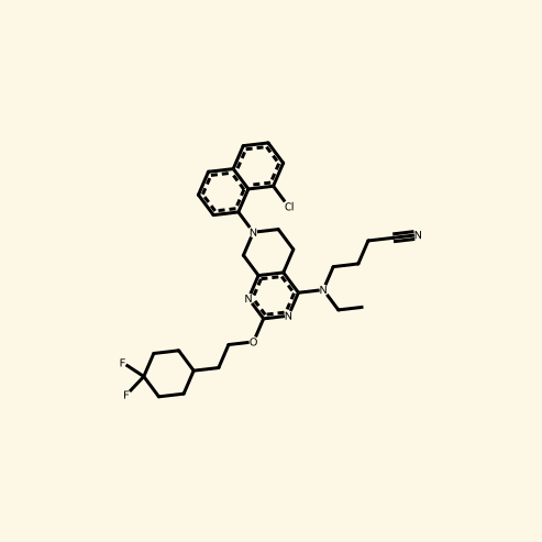 CCN(CCCC#N)c1nc(OCCC2CCC(F)(F)CC2)nc2c1CCN(c1cccc3cccc(Cl)c13)C2